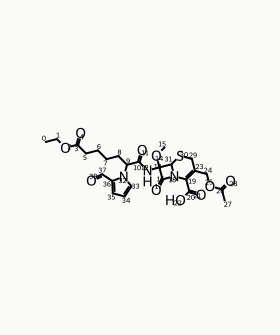 CCOC(=O)CCCCC(C(=O)NC1(OC)C(=O)N2C(C(=O)O)=C(COC(C)=O)CSC21)n1cccc1C=O